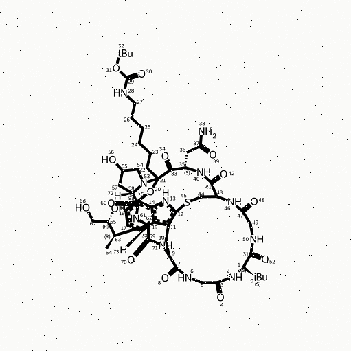 CC[C@H](C)[C@@H]1NC(=O)CNC(=O)C2Cc3c4[nH]c5cc(ccc35)OC(CCCCCCNC(=O)OC(C)(C)C)(C(=O)[C@H](CC(N)=O)NC(=O)C(CS4)NC(=O)CNC1=O)N1CC(O)C[C@H]1C(=O)N[C@@H]([C@@H](C)[C@@H](O)CO)C(=O)N2